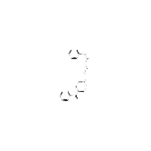 CC(Cc1ccccc1)NCCOC1CCC(C(=O)c2ccccc2)CC1